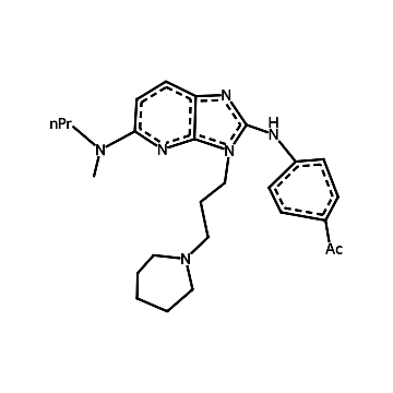 CCCN(C)c1ccc2nc(Nc3ccc(C(C)=O)cc3)n(CCCN3CCCCC3)c2n1